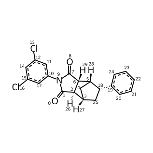 O=C1[C@@H]2[C@@H]3C[C@H]([C@H]2C(=O)N1c1cc(Cl)cc(Cl)c1)[C@H](c1ccccc1)C3